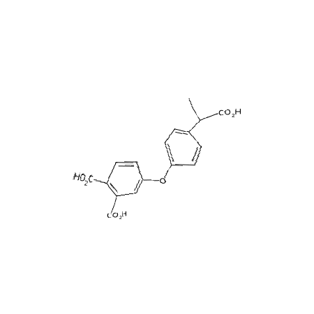 CC(C(=O)O)c1ccc(Oc2ccc(C(=O)O)c(C(=O)O)c2)cc1